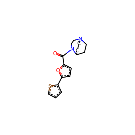 O=C(c1ccc(-c2cccs2)o1)N1CCN2CCC1CC2